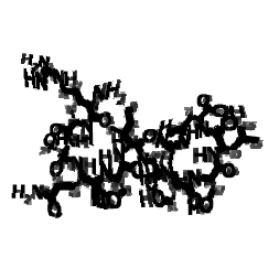 CC[C@H](C)[C@H](NC(=O)[C@H](CO)NC(=O)[C@H](CCC(N)=O)NC(=O)[C@H](CO)NC(=O)[C@H](C)NC(=O)[C@@H](N)CCCNC(=N)N)C(=O)NCC(=O)N[C@@H](CO)C(=O)N[C@@H](CO)C(=O)N[C@@H](CC(C)C)C(=O)N[C@@H](Cc1c[nH]cn1)C(=O)O